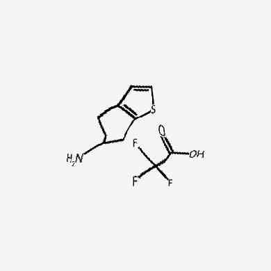 NC1Cc2ccsc2C1.O=C(O)C(F)(F)F